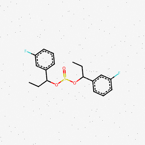 CCC(OS(=O)OC(CC)c1cccc(F)c1)c1cccc(F)c1